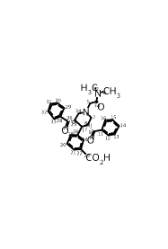 CN(C)C(=O)CN1C[C@H](C(=O)c2ccccc2)C(c2cccc(C(=O)O)c2)[C@H](C(=O)c2ccccc2)C1